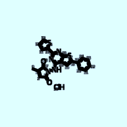 CC1=CC(=O)N(Nc2nc(-c3cccs3)nc3sc(-c4ccccc4)cc23)C1=O.Cl